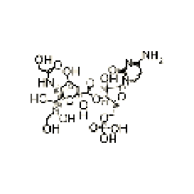 Nc1ccn([C@@H]2O[C@H](COP(=O)(O)O)[C@@H](OC(=O)[C@]3(O)C[C@H](O)[C@@H](NC(=O)CO)[C@H]([C@H](O)[C@H](O)CO)O3)[C@H]2O)c(=O)n1